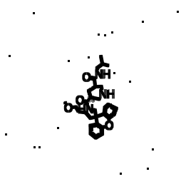 COCCCCC1(CNC(=O)[C@@H]2CNCC(C(=O)NCC(C)C)C2)c2ccccc2Oc2ccccc21